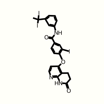 CC(I)(I)c1cccc(NC(=O)c2ccc(Oc3ccnc4c3CCC(=O)N4)c(I)c2)c1